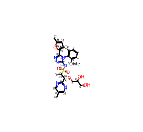 COc1cccc(OC)c1-n1c(NS(=O)(=O)[C@H](C)[C@H](OCC(O)CO)c2ncc(C)cn2)nnc1-c1ccc(C)o1